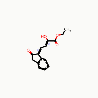 CCOC(=O)/C(O)=C/C=C1/C(=O)Cc2ccccc21